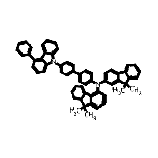 CC1(C)c2ccccc2-c2ccc(N(c3ccc(-c4ccc(-n5c6ccccc6c6c(-c7ccccc7)cccc65)cc4)cc3)c3cccc4c3-c3ccccc3C4(C)C)cc21